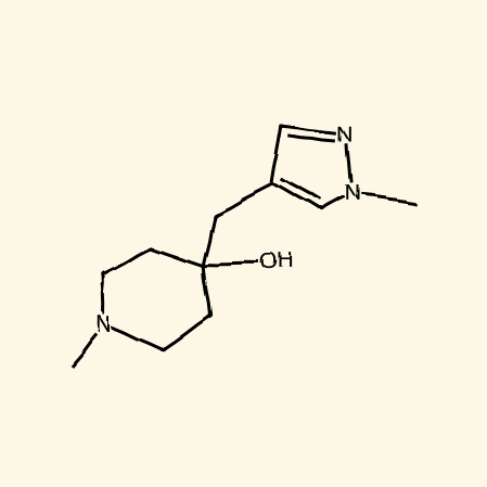 CN1CCC(O)(Cc2cnn(C)c2)CC1